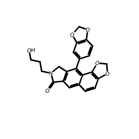 O=C1c2cc3ccc4c(c3c(-c3ccc5c(c3)OCO5)c2CN1CCCO)OCO4